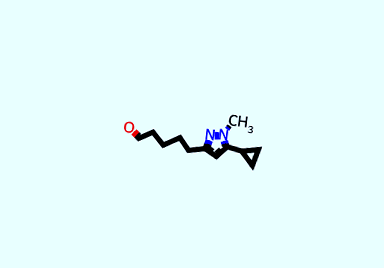 Cn1nc(CCCCC=O)cc1C1CC1